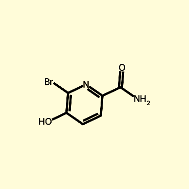 NC(=O)c1ccc(O)c(Br)n1